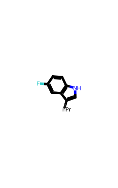 [CH2]CCc1c[nH]c2ccc(F)cc12